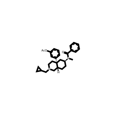 CC(=O)Oc1cccc([C@@]23CCN(CC4CC4)C[C@H]2CC[C@H](N(C)C(=O)c2ccccc2)C3)c1